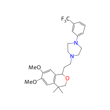 COc1cc2c(cc1OC)C(C)(C)COC2CCN1CCN(c2cccc(C(F)(F)F)c2)CC1